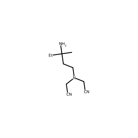 CCC(C)(N)CCN(CC#N)CC#N